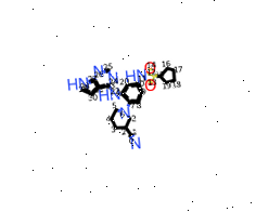 N#CC1CCCN(c2ccc(NS(=O)(=O)C3CCCC3)cc2Nc2ncnc3[nH]ccc23)C1